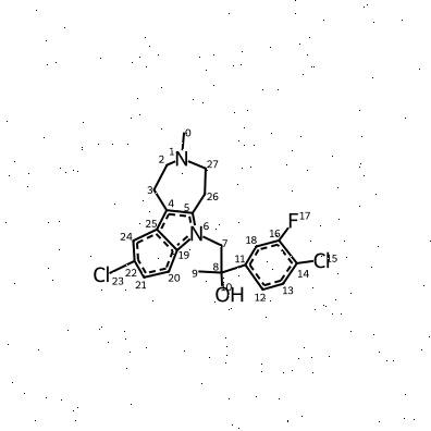 CN1CCc2c(n(CC(C)(O)c3ccc(Cl)c(F)c3)c3ccc(Cl)cc23)CC1